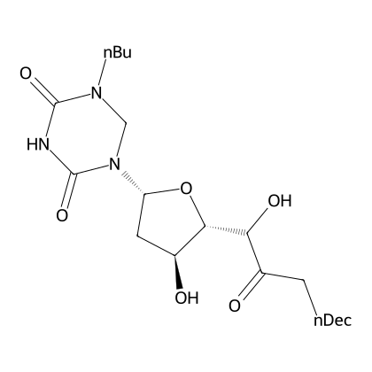 CCCCCCCCCCCC(=O)C(O)[C@H]1O[C@@H](N2CN(CCCC)C(=O)NC2=O)C[C@@H]1O